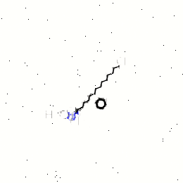 CCCCCCCCCCCCCCCC[N+](C)(C)CC.c1ccccc1